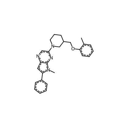 Cc1ccccc1OCC1CCCN(c2cnc3cc(-c4ccccc4)n(C)c3n2)C1